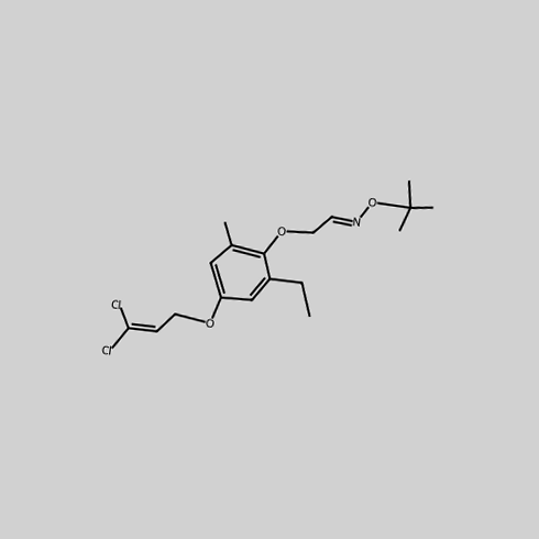 CCc1cc(OCC=C(Cl)Cl)cc(C)c1OCC=NOC(C)(C)C